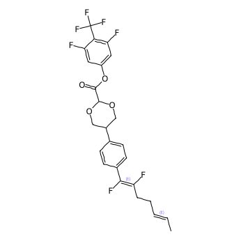 C/C=C/CC/C(F)=C(\F)c1ccc(C2COC(C(=O)Oc3cc(F)c(C(F)(F)F)c(F)c3)OC2)cc1